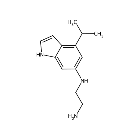 CC(C)c1cc(NCCN)cc2[nH]ccc12